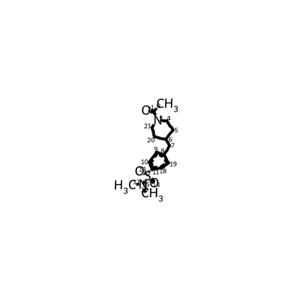 CC(=O)N1CCC(Cc2ccc(S(=O)(=O)N(C)C)cc2)CC1